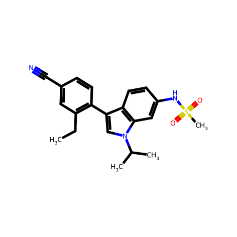 CCc1cc(C#N)ccc1-c1cn(C(C)C)c2cc(NS(C)(=O)=O)ccc12